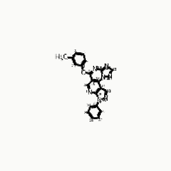 Cc1cccc(Oc2nc3ncnn3c3c2cnc2c3cnn2-c2ccccc2)c1